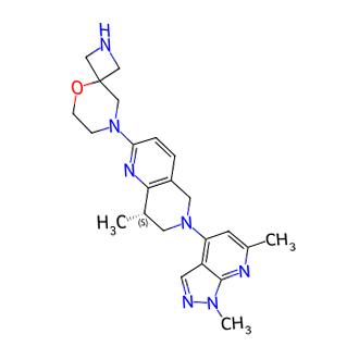 Cc1cc(N2Cc3ccc(N4CCOC5(CNC5)C4)nc3[C@@H](C)C2)c2cnn(C)c2n1